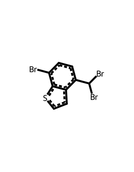 Brc1ccc(C(Br)Br)c2ccsc12